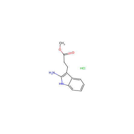 COC(=O)CCc1c(N)[nH]c2ccccc12.Cl